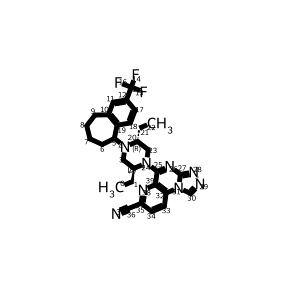 CC[C@H]1CN(C2CCCCc3cc(C(F)(F)F)ccc32)[C@H](CC)CN1c1nc2nncn2c2ccc(C#N)nc12